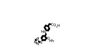 CCCOc1cc(Sc2nncn2C)ccc1CNc1ccc(CC(=O)O)cc1